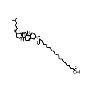 CC(C)CCC[C@@H](C)C1CC[C@H]2[C@@H]3CC=C4C[C@@H](OC(=O)CCCCCCCCCCCCCCCCC(=O)O)CC[C@]4(C)[C@H]3CC[C@]12C